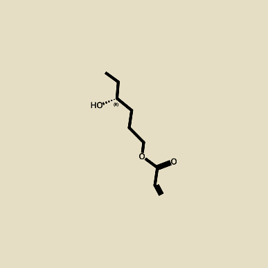 C=CC(=O)OCCC[C@H](O)CC